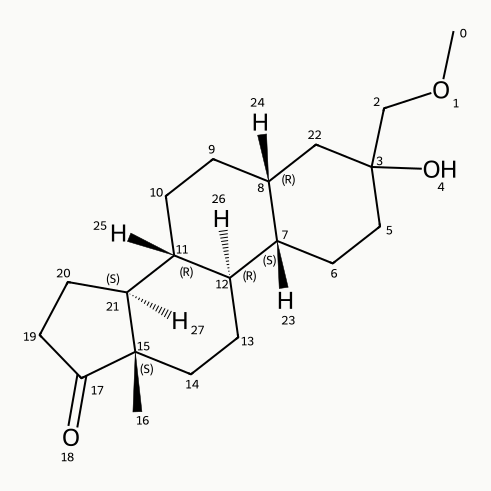 COCC1(O)CC[C@H]2[C@H](CC[C@@H]3[C@@H]2CC[C@]2(C)C(=O)CC[C@@H]32)C1